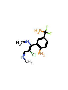 C=N/C(=C(Cl)\C=N/C)c1cc(C(F)(F)P)ccc1P